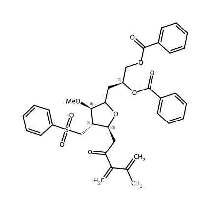 C=C(C)C(=C)C(=O)C[C@@H]1OC(C[C@@H](COC(=O)c2ccccc2)OC(=O)c2ccccc2)[C@H](OC)[C@H]1CS(=O)(=O)c1ccccc1